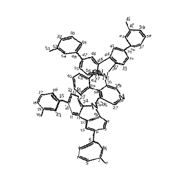 Cc1cccc(-c2ccc3c(c2)c2cc(-c4cccc(C)c4)ccc2n3-c2cncc(-n3c4ccc(-c5cccc(C)c5)cc4c4cc(-c5cccc(C)c5)ccc43)c2-c2ccccc2C#N)c1